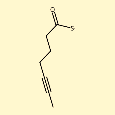 CC#CCCCC(=O)[S]